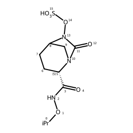 CC(C)ONC(=O)[C@@H]1CCC2CN1C(=O)N2OS(=O)(=O)O